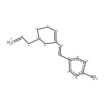 C=CCN1CCC=C(C=Cc2ccc([N+](=O)[O-])cc2)C1